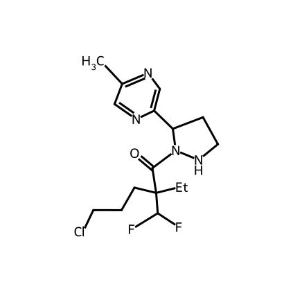 CCC(CCCCl)(C(=O)N1NCCC1c1cnc(C)cn1)C(F)F